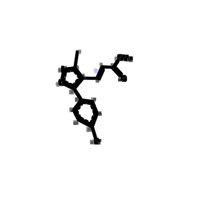 COC(=O)/C=C/c1c(C)noc1-c1ccc(Br)cc1